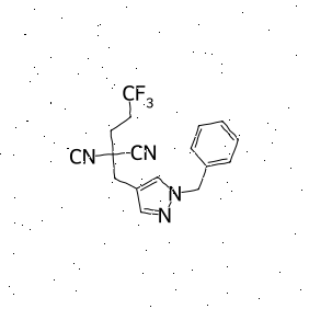 [C-]#[N+]C(C#N)(CCC(F)(F)F)Cc1cnn(Cc2ccccc2)c1